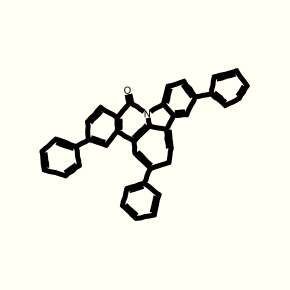 O=c1c2ccc(-c3ccccc3)cc2c2c3c(c4cc(-c5ccccc5)ccc4n13)=CCC(c1ccccc1)=C2